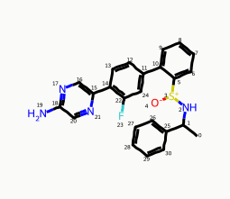 CC(N[S+]([O-])c1ccccc1-c1ccc(-c2cnc(N)cn2)c(F)c1)c1ccccc1